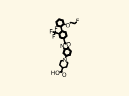 O=C(O)C1CCN(c2ccc3oc(-c4ccc(-c5ccccc5OCCF)c(C(F)(F)F)c4)nc3c2)CC1